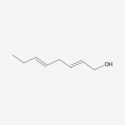 CC/C=C/C/C=C/CO